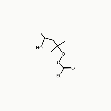 CCC(=O)OOC(C)(C)CC(C)O